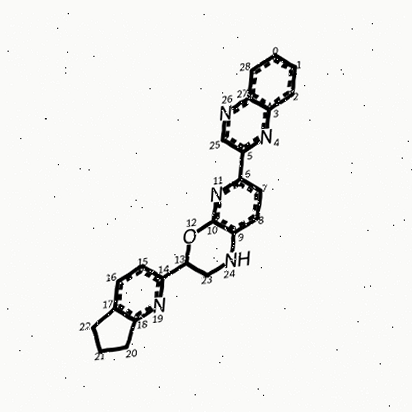 c1ccc2nc(-c3ccc4c(n3)OC(c3ccc5c(n3)CCC5)CN4)cnc2c1